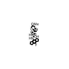 CO[C@H]1COc2c(S(=O)(=O)NC(O)Nc3c4c(c(F)c5c3CCC5)CCC4)cnn2C1